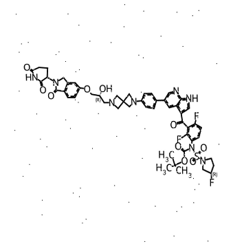 CC(C)(C)OC(=O)N(c1ccc(F)c(C(=O)c2c[nH]c3ncc(-c4ccc(N5CC6(CN(C[C@@H](O)COc7ccc8c(c7)CN(C7CCC(=O)NC7=O)C8=O)C6)C5)cc4)cc23)c1F)S(=O)(=O)N1CC[C@@H](F)C1